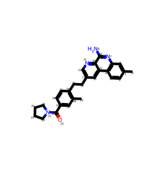 Cc1ccc2c(c1)nc(N)c1ncc(CCc3ccc(C(=O)N4CCCC4)cc3C)cc12